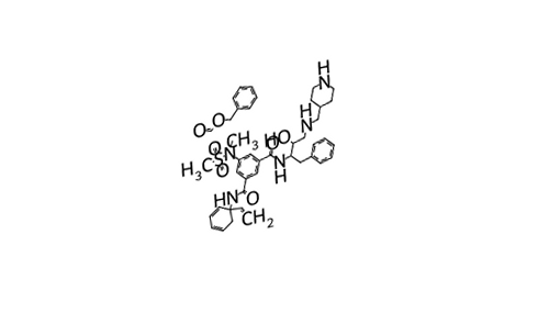 C=CC1(NC(=O)c2cc(C(=O)NC(Cc3ccccc3)C(O)CNCC3CCNCC3)cc(N(C)S(C)(=O)=O)c2)C=CC=CC1.O=COCc1ccccc1